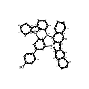 CC(C)(C)c1ccc(-c2cc3c4c(c2)-n2c5cc6ccccc6cc5c5cc6ccccc6c(c52)B4c2cccc4c5ccccc5n-3c24)cc1